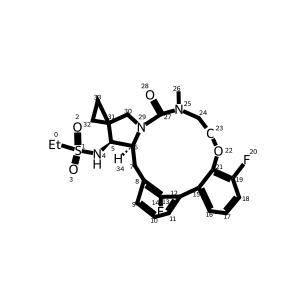 CCS(=O)(=O)N[C@@H]1[C@@H]2Cc3cccc(c3F)-c3cccc(F)c3OCCN(C)C(=O)N2CC12CC2